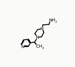 CC(c1cccnc1)N1CCN(CCN)CC1